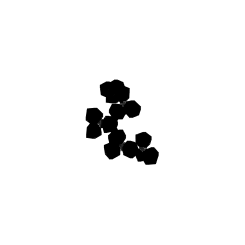 c1ccc(-n2c(-c3ccc(-n4c5ccccc5c5cc(-c6cc(-c7ccc8c(c7)c7ccccc7n8-c7ccc8ccc9cccc%10ccc7c8c9%10)cc(-n7c8ccccc8c8ccccc87)c6)ccc54)cc3)cc3ccccc32)cc1